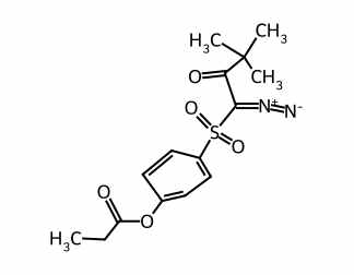 CCC(=O)Oc1ccc(S(=O)(=O)C(=[N+]=[N-])C(=O)C(C)(C)C)cc1